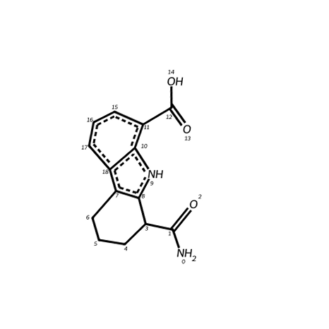 NC(=O)C1CCCc2c1[nH]c1c(C(=O)O)cccc21